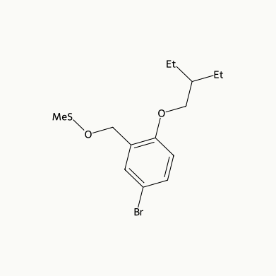 CCC(CC)COc1ccc(Br)cc1COSC